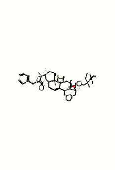 CC[C@@](C)(CO[C@H]1[C@H](C)C[C@@]23COC[C@@]1(C)[C@@H]2CC[C@H]1C3=CC[C@@]2(C)[C@H](C(=O)OCc3ccccc3)[C@@](C)([C@H](C)C(C)C)CC[C@]12C)C(C)(C)C